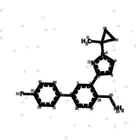 CC1(n2ccc(-c3cc(-c4ccc(F)cc4)ccc3CN)n2)CC1